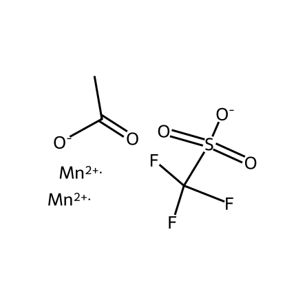 CC(=O)[O-].O=S(=O)([O-])C(F)(F)F.[Mn+2].[Mn+2]